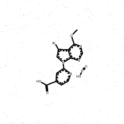 COc1ncnc2c1c(Br)cn2-c1cc(C(=O)O)ccn1.O=NO